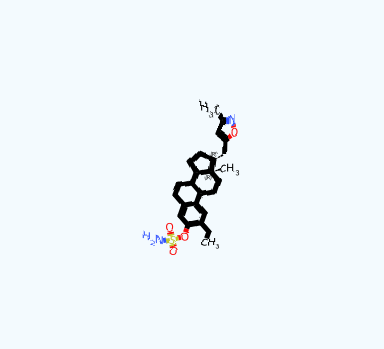 CCc1cc2c(cc1OS(N)(=O)=O)CCC1C2CC[C@@]2(C)C1CC[C@@H]2Cc1cc(C)no1